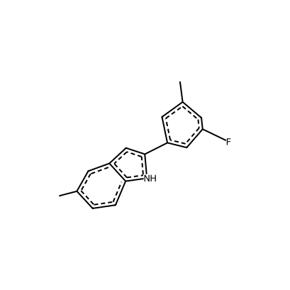 Cc1cc(F)cc(-c2cc3cc(C)ccc3[nH]2)c1